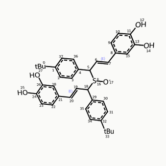 CC(C)(C)c1ccc(C(/C=C/c2ccc(O)c(O)c2)[S+]([O-])C(/C=C/c2ccc(O)c(O)c2)c2ccc(C(C)(C)C)cc2)cc1